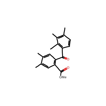 COC(=O)c1cc(C)c(C)cc1C(=O)c1ccc(C)c(C)c1C